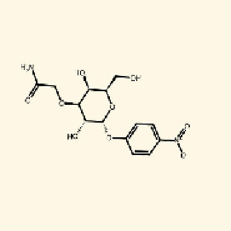 NC(=O)CO[C@H]1[C@@H](O)[C@@H](CO)O[C@H](Oc2ccc([N+](=O)[O-])cc2)[C@@H]1O